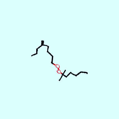 C=C(CCC)CCCCOOC(C)(C)CCCCC